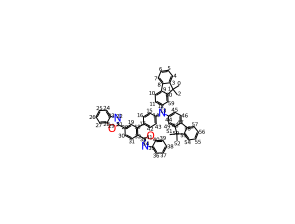 CC1(C)c2ccccc2-c2ccc(N(c3ccc(-c4cc(-c5nc6ccccc6o5)ccc4-c4nc5ccccc5o4)cc3)c3ccc4c(c3)C(C)(C)c3ccccc3-4)cc21